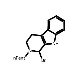 CCCCCN1CCc2c([nH]c3ccccc23)C1Br